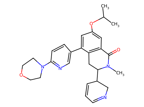 CC(C)Oc1cc2c(c(-c3ccc(N4CCOCC4)nc3)c1)CC(C1C=CC=NC1)N(C)C2=O